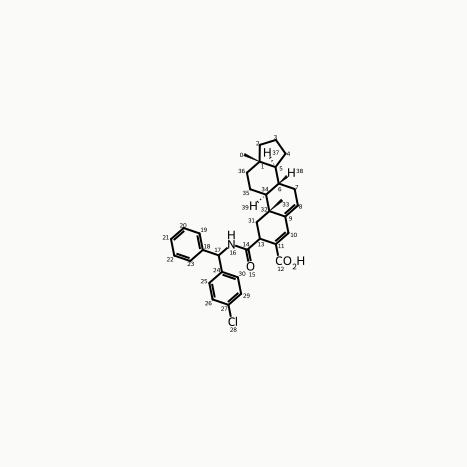 C[C@@]12CCC[C@H]1[C@@H]1CC=C3C=C(C(=O)O)C(C(=O)NC(c4ccccc4)c4ccc(Cl)cc4)C[C@]3(C)[C@H]1CC2